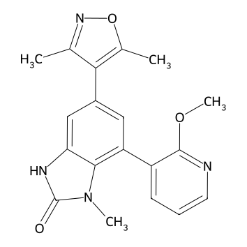 COc1ncccc1-c1cc(-c2c(C)noc2C)cc2[nH]c(=O)n(C)c12